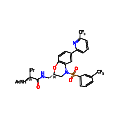 CC(=O)N[C@H](C(=O)NC[C@H]1CN(S(=O)(=O)c2cccc(C(F)(F)F)c2)c2cc(-c3cccc(C(F)(F)F)n3)ccc2O1)C(C)C